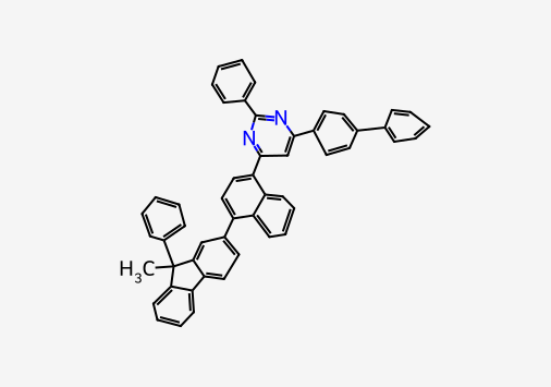 CC1(c2ccccc2)c2ccccc2-c2ccc(-c3ccc(-c4cc(-c5ccc(-c6ccccc6)cc5)nc(-c5ccccc5)n4)c4ccccc34)cc21